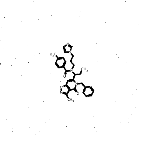 CCC(c1cc2onc(C)c2c(=O)n1Cc1ccccc1)N(CCCn1ccnc1)C(=O)c1ccc(C)cc1